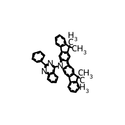 CC1(C)c2ccccc2-c2cc3c(cc21)c1cc2c(cc1n3-c1nc(-c3ccccc3)nc3ccccc13)-c1ccccc1C2(C)C